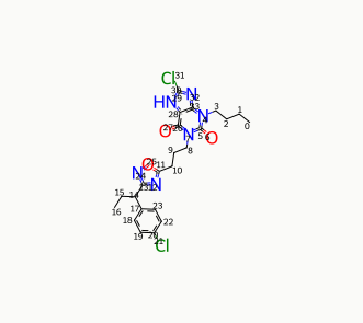 CCCCn1c(=O)n(CCCc2nc(C(CC)c3ccc(Cl)cc3)no2)c(=O)c2[nH]c(Cl)nc21